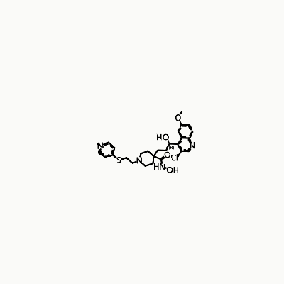 COc1ccc2ncc(Cl)c([C@H](O)CCC3(C(=O)NO)CCN(CCSc4ccncc4)CC3)c2c1